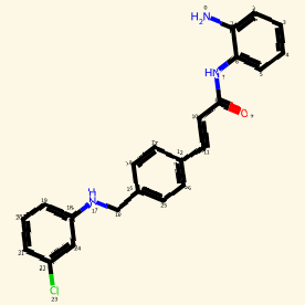 Nc1ccccc1NC(=O)C=Cc1ccc(CNc2cccc(Cl)c2)cc1